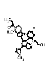 C=CC(=O)N1CCn2nc(-c3nc(-c4cn(C)cn4)c4ccsc4c3-c3c(F)cc(F)cc3OCCO)cc2[C@@H]1C